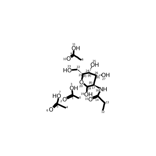 CC(=O)O.CC(=O)O.CC(=O)O.CCC(=O)N[C@H]1C(O)O[C@H](CO)[C@H](O)[C@@H]1O